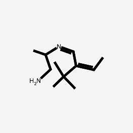 C/C=C(\C=N/C(C)CN)C(C)(C)C